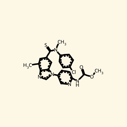 COC(=O)Nc1ccc(-n2cnc3c(C)cc(C(=S)N(C)c4ccc(Cl)cc4)cc32)cn1